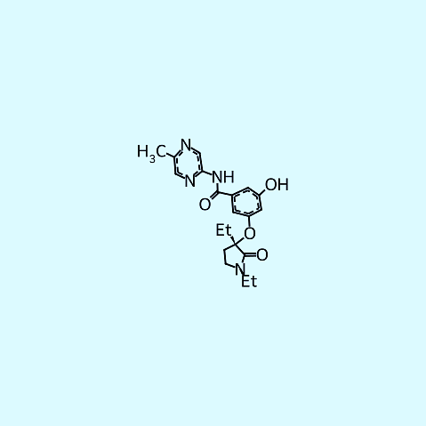 CCN1CC[C@](CC)(Oc2cc(O)cc(C(=O)Nc3cnc(C)cn3)c2)C1=O